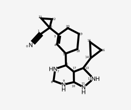 N#CC1(C2=CC(C3NCNC4NNC(C5CC5)C43)CCC2)CC1